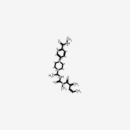 C=C(/C=C\C)C(=O)N(C)C(=O)NC(C)N1CCN(c2ccc(C(=O)NC)nc2)CC1